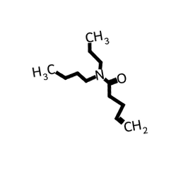 C=CCCC(=O)N(CCC)CCCC